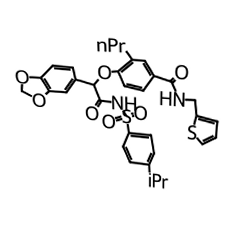 CCCc1cc(C(=O)NCc2cccs2)ccc1OC(C(=O)NS(=O)(=O)c1ccc(C(C)C)cc1)c1ccc2c(c1)OCO2